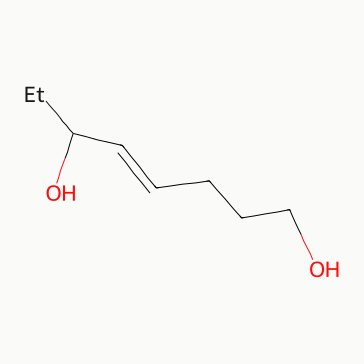 CCC(O)/C=C/CCCO